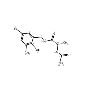 Cc1cc(Cl)cc(CNC(=O)[C@H](C)OC(N)=O)c1O